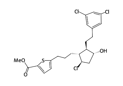 COC(=O)c1ccc(CCC[C@@H]2[C@@H](CCc3cc(Cl)cc(Cl)c3)[C@H](O)C[C@H]2Cl)s1